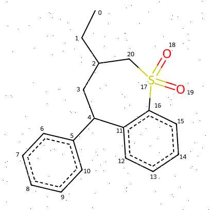 CCC1CC(c2ccccc2)c2ccccc2S(=O)(=O)C1